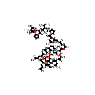 CC(C)C[C@H](NC(=O)[C@H](C)N)C(=O)N[C@H](C(=O)N[C@@H](CO)C(=O)N[C@@H](CCC(=O)O)C(=O)N[C@@H](CCC(=O)O)C(=O)N[C@@H](C)C(=O)N[C@@H](CCC(=O)O)C(=O)N[C@@H](CCCNC(=N)N)C(=O)N[C@@H](CO)C(=O)N[C@@H](CC(=O)O)C(=O)NCC(=O)N[C@@H](CC(=O)O)C(=O)N1CCC[C@H]1C(=O)N[C@H](C(=O)N[C@@H](CCC(N)=O)C(=O)N1CCC[C@H]1C(=O)N[C@@H](C)C(=O)O)C(C)C)[C@@H](C)O